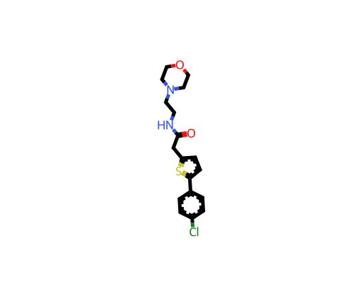 O=C(Cc1ccc(-c2ccc(Cl)cc2)s1)NCCN1CCOCC1